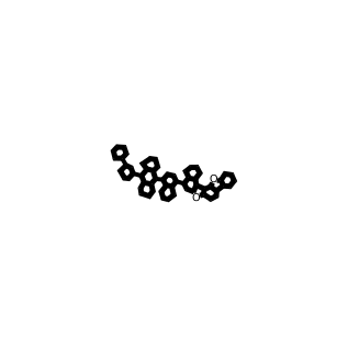 c1ccc(-c2cccc(-c3c4ccccc4c(-c4ccc(-c5cc6oc7ccc8c9ccccc9oc8c7c6c6ccccc56)c5ccccc45)c4ccccc34)c2)cc1